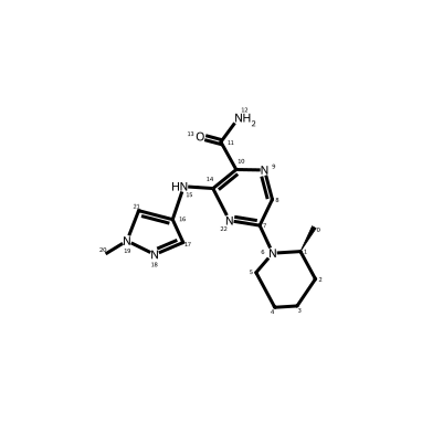 C[C@H]1CCCCN1c1cnc(C(N)=O)c(Nc2cnn(C)c2)n1